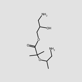 CC(CN)OC(C)(C)C(=O)OCC(O)CN